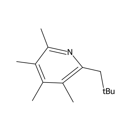 Cc1nc(CC(C)(C)C)c(C)c(C)c1C